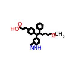 COCCCC/C(=C(/c1ccc(/C=C/C(=O)O)cc1)c1ccc2[nH]ncc2c1)c1ccccc1